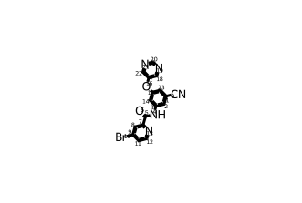 N#Cc1cc(NC(=O)c2cc(Br)ccn2)cc(Oc2cncnc2)c1